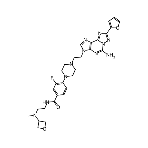 CN(CCNC(=O)c1ccc(N2CCN(CCn3cnc4c3nc(N)n3nc(-c5ccco5)nc43)CC2)c(F)c1)C1COC1